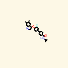 Cc1cc2nccc(Oc3ccc(-c4ccc(C(=O)NC5CC5)cc4)cc3F)c2cc1C